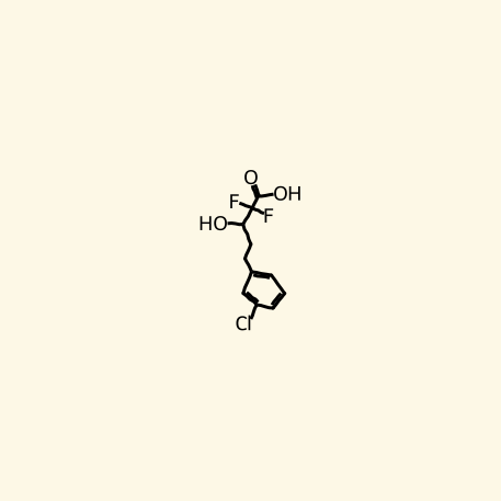 O=C(O)C(F)(F)C(O)CCc1cccc(Cl)c1